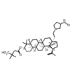 C=C(C)[C@@H]1CC[C@]2(CCN3CCC(NCC)C3)CC[C@]3(C)[C@H](CC[C@@H]4[C@@]5(C)CC[C@H](OC(=O)CC(C)(C)C(=O)O)C(C)(C)[C@@H]5CC[C@]43C)[C@@H]12